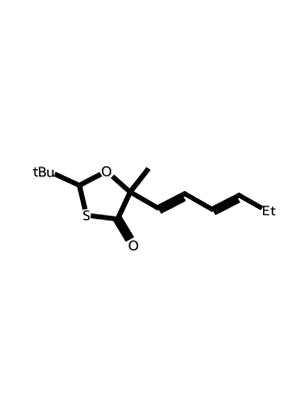 CCC=CC=CC1(C)OC(C(C)(C)C)SC1=O